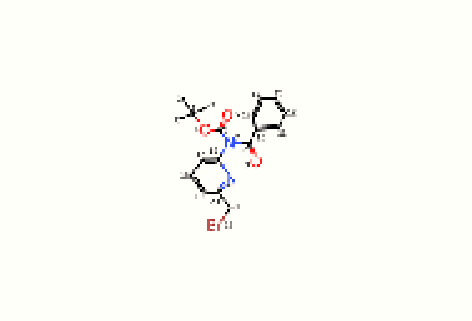 CC(C)(C)OC(=O)N(C(=O)c1ccccc1)c1cccc(CBr)n1